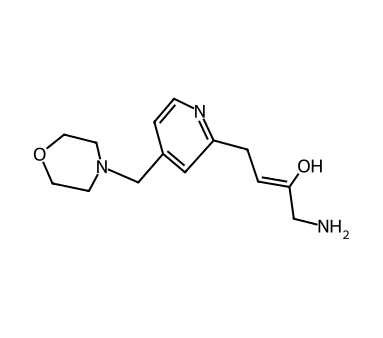 NCC(O)=CCc1cc(CN2CCOCC2)ccn1